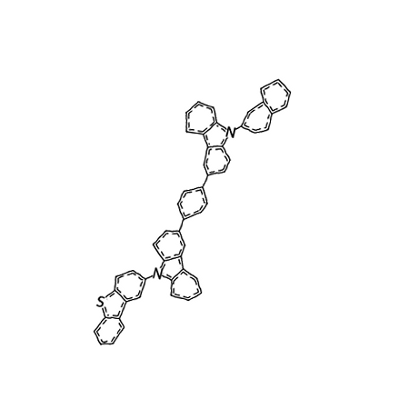 c1ccc2cc(-n3c4ccccc4c4cc(-c5ccc(-c6ccc7c(c6)c6ccccc6n7-c6ccc7sc8ccccc8c7c6)cc5)ccc43)ccc2c1